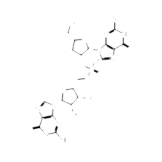 Nc1nc2c(ncn2[C@@H]2S[C@H](COP(O)(=S)O[C@@H]3[C@H](O)[C@@H](CO)S[C@H]3n3cnc4c(=O)[nH]c(N)nc43)[C@@H](O)[C@H]2O)c(=O)[nH]1